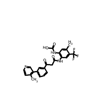 Cc1ccncc1-c1cccc(C(=O)CC(=O)Nc2cc(C(F)(F)F)c(C)cc2NC(=O)O)c1